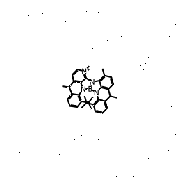 Cc1ccc2c3c1N1B(N3c3c(C(C)C)cccc3C2C)N2c3c(C(C)C)cccc3C(C)c3cc[n+](C)c1c32